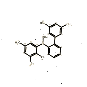 CCCCN(c1ccccc1-c1cc(C)cc(C(C)(C)C)c1)c1cc(C)cc(C(C)(C)C)c1O